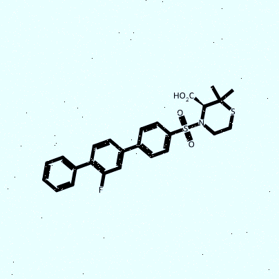 CC1(C)SCCN(S(=O)(=O)c2ccc(-c3ccc(-c4ccccc4)c(F)c3)cc2)[C@H]1C(=O)O